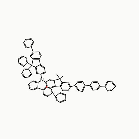 CC1(C)c2cc(-c3ccc(-c4ccc(-c5ccccc5)cc4)cc3)ccc2-c2ccc(N(c3ccc4c(c3)C(c3ccccc3)(c3ccccc3)c3cc(-c5ccccc5)ccc3-4)c3ccccc3-c3ccc(-c4ccccc4)cc3)cc21